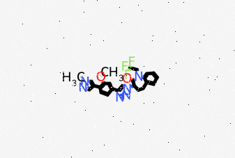 COc1cc(-c2cn(C3CCc4ccccc4N(CC(F)(F)F)C3=O)nn2)ccc1-c1cnn(C)c1